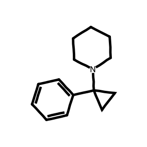 c1ccc(C2(N3CCCCC3)CC2)cc1